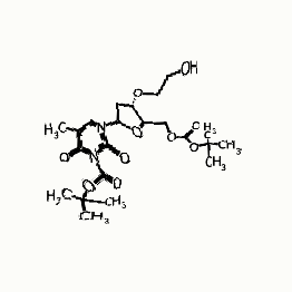 Cc1cn(C2C[C@H](OCCO)C(COC(=O)OC(C)(C)C)O2)c(=O)n(C(=O)OC(C)(C)C)c1=O